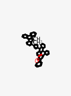 CC1(C)c2c(-c3ccc(-c4c5ccccc5c(-c5ccccc5-c5ccc6oc7ccccc7c6c5)c5ccccc45)cc3)cccc2-c2c1c1ccccc1c1ccccc21